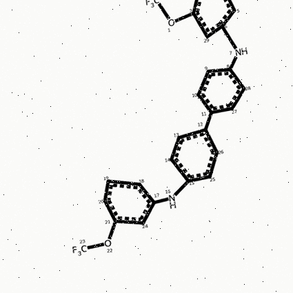 FC(F)(F)Oc1cccc(Nc2ccc(-c3ccc(Nc4cccc(OC(F)(F)F)c4)cc3)cc2)c1